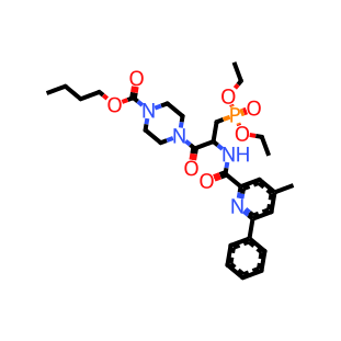 CCCCOC(=O)N1CCN(C(=O)C(CP(=O)(OCC)OCC)NC(=O)c2cc(C)cc(-c3ccccc3)n2)CC1